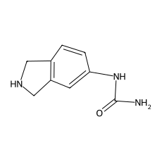 NC(=O)Nc1ccc2c(c1)CNC2